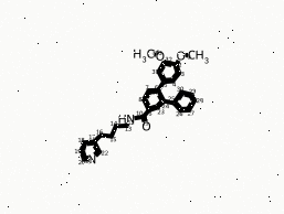 COc1ccc(-c2ccc(C(=O)NCCCCc3cccnc3)cc2-c2ccccc2)cc1OC